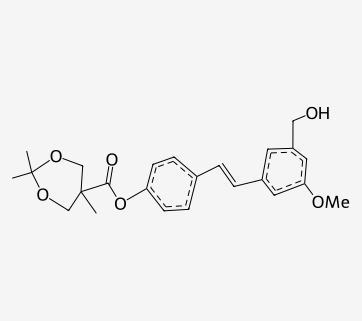 COc1cc(/C=C/c2ccc(OC(=O)C3(C)COC(C)(C)OC3)cc2)cc(CO)c1